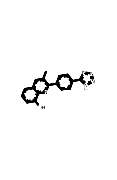 Cc1cc2cccc(O)c2nc1-c1ccc(-c2nnn[nH]2)cc1